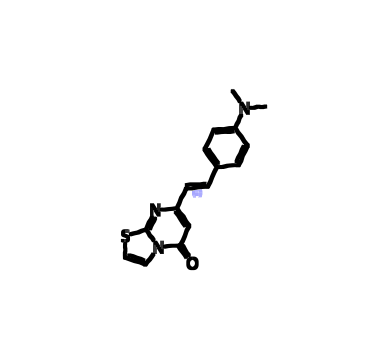 CN(C)c1ccc(/C=C/c2cc(=O)n3ccsc3n2)cc1